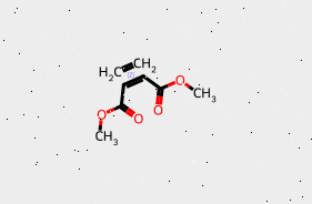 C=C.COC(=O)/C=C\C(=O)OC